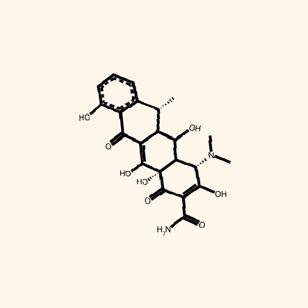 C[C@H]1c2cccc(O)c2C(=O)C2=C(O)[C@]3(O)C(=O)C(C(N)=O)=C(O)[C@@H](N(C)C)C3C(O)C21